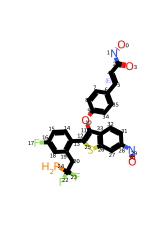 O=NC(=O)/C=C/c1ccc(Oc2c(-c3ccc(F)cc3CC(F)(F)P)sc3cc(N=O)ccc23)cc1